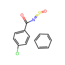 O=S=NC(=O)c1ccc(Cl)cc1.c1ccccc1